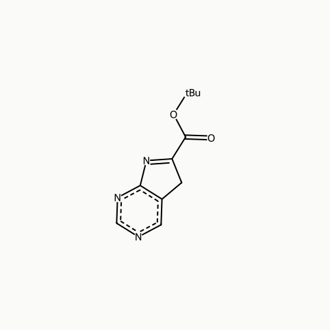 CC(C)(C)OC(=O)C1=Nc2ncncc2C1